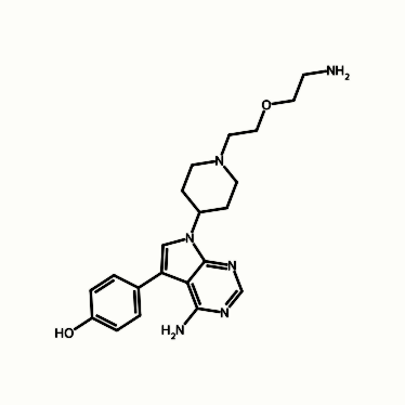 NCCOCCN1CCC(n2cc(-c3ccc(O)cc3)c3c(N)ncnc32)CC1